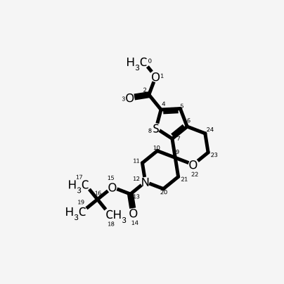 COC(=O)c1cc2c(s1)C1(CCN(C(=O)OC(C)(C)C)CC1)OCC2